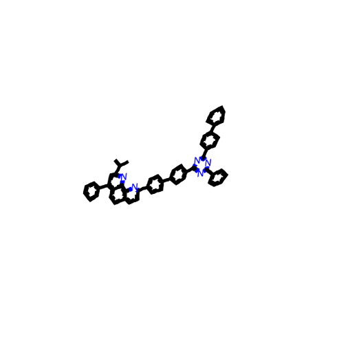 CC(C)c1cc(-c2ccccc2)c2ccc3ccc(-c4ccc(-c5ccc(-c6nc(-c7ccccc7)nc(-c7ccc(-c8ccccc8)cc7)n6)cc5)cc4)nc3c2n1